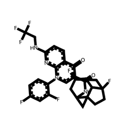 O=C(NC12CC3(F)CC4C(F)(CCC41C2)C3)c1cn(-c2ccc(F)cc2F)c2nc(NCC(F)(F)F)ccc2c1=O